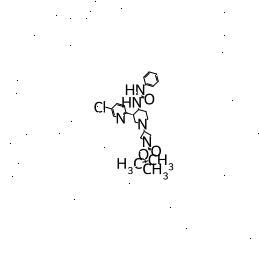 CC(C)(C)OC(=O)N1CC(N2CC[C@@H](NC(=O)Nc3ccccc3)[C@H](c3ccc(Cl)cn3)C2)C1